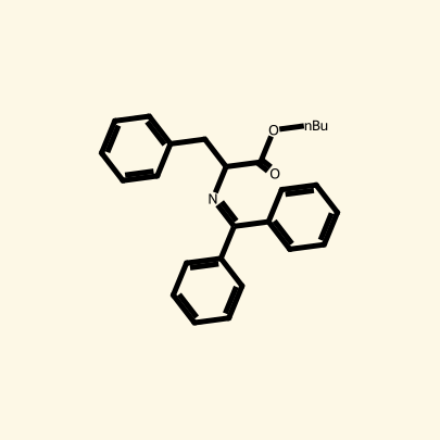 CCCCOC(=O)C(Cc1ccccc1)N=C(c1ccccc1)c1ccccc1